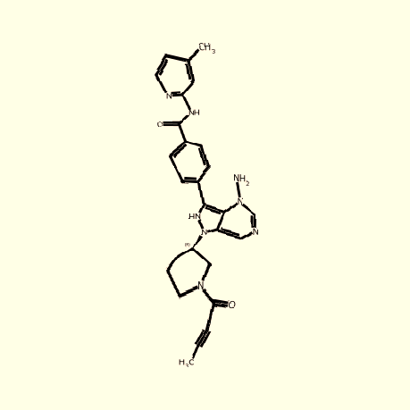 CC#CC(=O)N1CCC[C@@H](N2NC(c3ccc(C(=O)Nc4cc(C)ccn4)cc3)=C3C2=CN=CN3N)C1